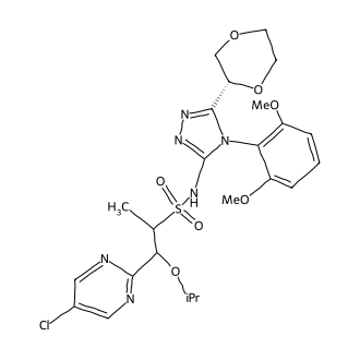 COc1cccc(OC)c1-n1c(NS(=O)(=O)C(C)C(OC(C)C)c2ncc(Cl)cn2)nnc1[C@@H]1COCCO1